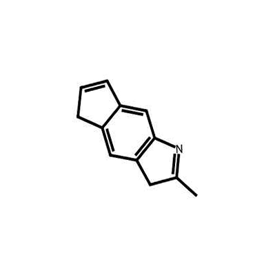 CC1=Nc2cc3c(cc2C1)CC=C3